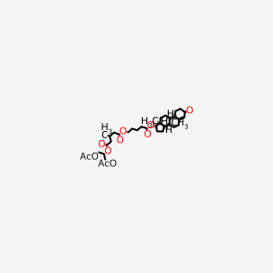 CC(=O)OCC(COC(C)=O)OC(=O)CC(C)CC(=O)OCCCCC(=O)O[C@H]1CC[C@H]2[C@@H]3CCC4=CC(=O)CC[C@]4(C)[C@H]3CC[C@]12C